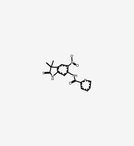 CC1(C)C(=S)Nc2cc(NC(=O)c3ccccn3)c([N+](=O)[O-])cc21